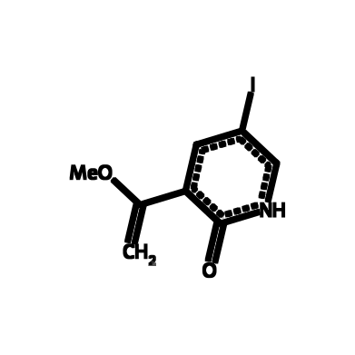 C=C(OC)c1cc(I)c[nH]c1=O